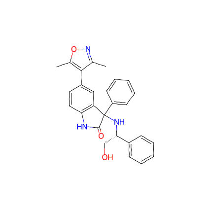 Cc1noc(C)c1-c1ccc2c(c1)C(N[C@@H](CO)c1ccccc1)(c1ccccc1)C(=O)N2